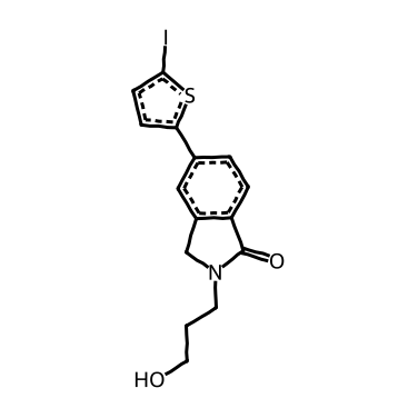 O=C1c2ccc(-c3ccc(I)s3)cc2CN1CCCO